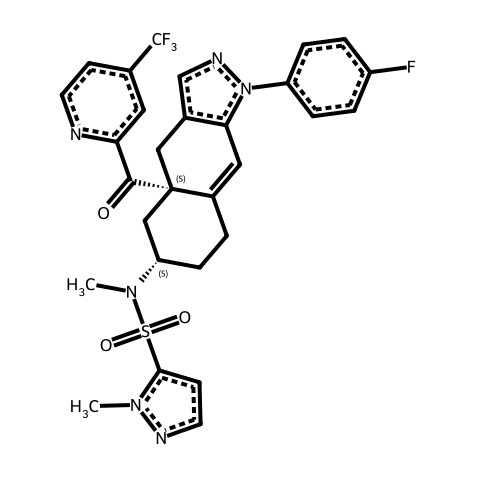 CN([C@H]1CCC2=Cc3c(cnn3-c3ccc(F)cc3)C[C@]2(C(=O)c2cc(C(F)(F)F)ccn2)C1)S(=O)(=O)c1ccnn1C